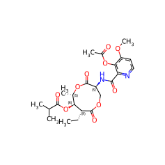 CC[C@H]1C(=O)OC[C@H](NC(=O)c2nccc(OC)c2OC(C)=O)C(=O)O[C@@H](C)[C@@H]1OC(=O)C(C)C